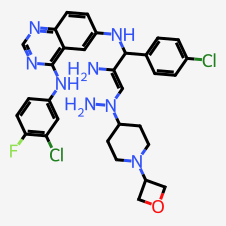 N/C(=C\N(N)C1CCN(C2COC2)CC1)C(Nc1ccc2ncnc(Nc3ccc(F)c(Cl)c3)c2c1)c1ccc(Cl)cc1